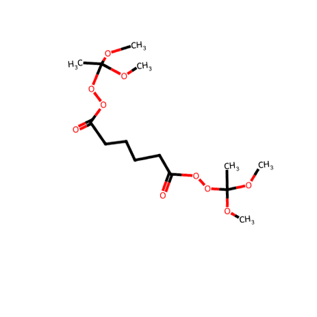 COC(C)(OC)OOC(=O)CCCCC(=O)OOC(C)(OC)OC